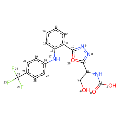 O=C(O)NC(CO)c1nnc(-c2ccccc2Nc2ccc(C(F)(F)F)cc2)o1